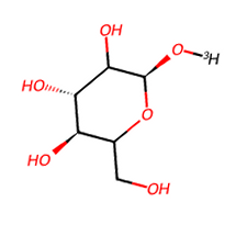 [3H]O[C@H]1OC(CO)[C@@H](O)[C@H](O)C1O